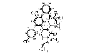 C=CC[C@@]1(C)C[C@H](c2cccc(Cl)c2)[C@@H](c2ccc(Cl)cc2)N([C@@H](CN(c2ccccc2)S(=O)(=O)CC)C2CC2)C1=O